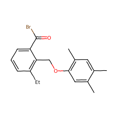 CCc1cccc(C(=O)Br)c1COc1cc(C)c(C)cc1C